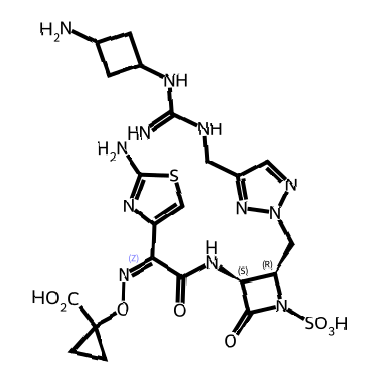 N=C(NCc1cnn(C[C@@H]2[C@H](NC(=O)/C(=N\OC3(C(=O)O)CC3)c3csc(N)n3)C(=O)N2S(=O)(=O)O)n1)NC1CC(N)C1